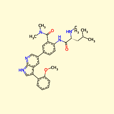 CN[C@H](CC(C)C)C(=O)Nc1ccc(-c2cnc3[nH]cc(-c4ccccc4OC)c3c2)cc1C(=O)N(C)C